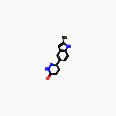 N#Cc1cc2cc(C3=NNC(=O)CC3)ccc2[nH]1